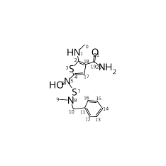 CNc1sc(N(O)SN(C)Cc2ccccc2)cc1C(N)=O